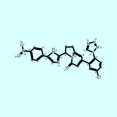 O=c1cc(-c2cc(Cl)ccc2-n2cnnn2)cc2n1C(c1ncc(-c3ccc([N+](=O)[O-])cc3)[nH]1)CC2